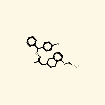 CC(CC1CCc2c(cccc2OCC(=O)O)C1)=NOC(c1ccccc1)c1ccc(Cl)cc1